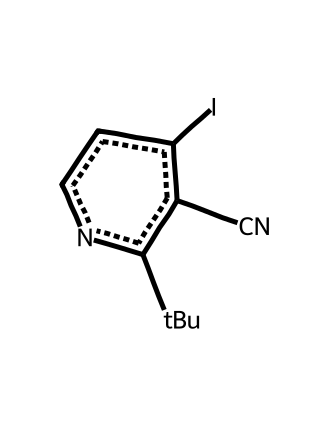 CC(C)(C)c1nccc(I)c1C#N